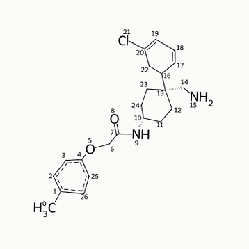 Cc1ccc(OCC(=O)N[C@H]2CC[C@](CN)(C3C=CC=C(Cl)C3)CC2)cc1